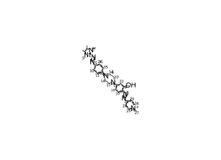 Cn1cc[n+](C)c1/N=N/c1ccc(N2CCN(c3ccc(/N=N/c4cc[n+](C)cc4)c(O)c3)CC2)cc1